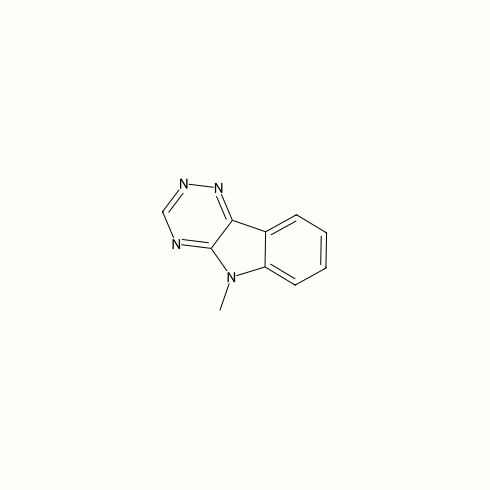 Cn1c2ccccc2c2nncnc21